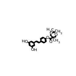 CC1(C)OCC(C)(C(=O)Oc2ccc(/C=C/c3cc(O)cc(O)c3)cc2)CO1